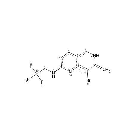 C=C1NC=c2ccc(NCC(F)(F)F)nc2=C1Br